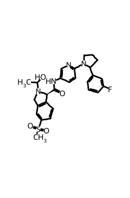 CC(O)N1Cc2cc(S(C)(=O)=O)ccc2[C@@H]1C(=O)Nc1ccc(N2CCCC2c2cccc(F)c2)nc1